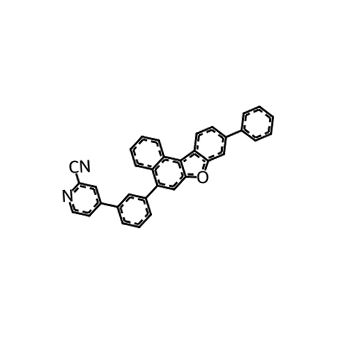 N#Cc1cc(-c2cccc(-c3cc4oc5cc(-c6ccccc6)ccc5c4c4ccccc34)c2)ccn1